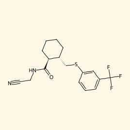 N#CCNC(=O)[C@H]1CCCC[C@@H]1CSc1cccc(C(F)(F)F)c1